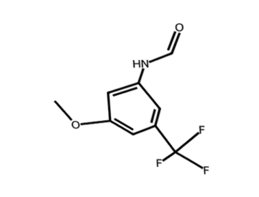 COc1cc(NC=O)cc(C(F)(F)F)c1